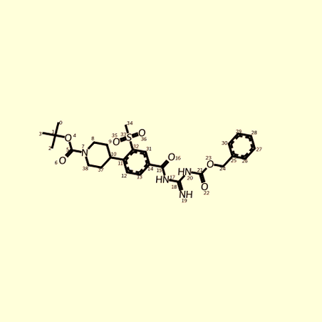 CC(C)(C)OC(=O)N1CCC(c2ccc(C(=O)NC(=N)NC(=O)OCc3ccccc3)cc2S(C)(=O)=O)CC1